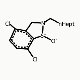 CCCCCCCCN1Cc2c(Cl)ccc(Cl)c2[S+]1[O-]